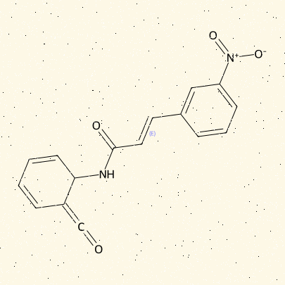 O=C=C1C=CC=CC1NC(=O)/C=C/c1cccc([N+](=O)[O-])c1